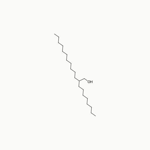 CCCCCCCCCCCC(CO)CCCCCCCC